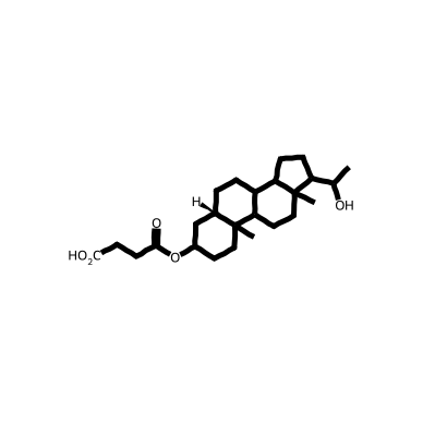 CC(O)C1CCC2C3CC[C@H]4CC(OC(=O)CCC(=O)O)CCC4(C)C3CCC12C